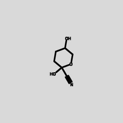 N#CC1(O)CCC(O)CO1